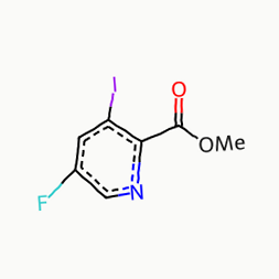 COC(=O)c1ncc(F)cc1I